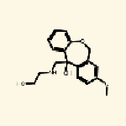 COc1ccc2c(c1)COc1ccccc1C2(O)CNCCO